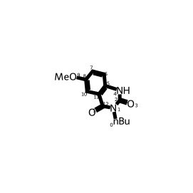 CCCCn1c(=O)[nH]c2ccc(OC)cc2c1=O